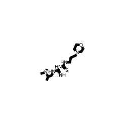 CC(CNC(=N)NC(=S)NCCCN1CCOCC1)N(C)C